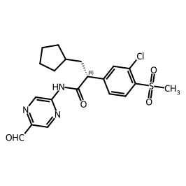 CS(=O)(=O)c1ccc([C@@H](CC2CCCC2)C(=O)Nc2cnc(C=O)cn2)cc1Cl